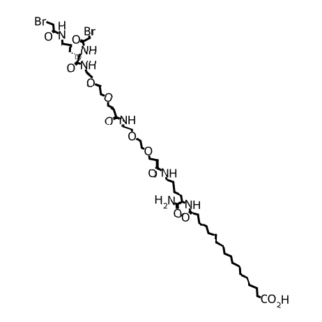 NC(=O)C(CCCCNC(=O)CCOCCOCCNC(=O)CCOCCOCCNC(=O)[C@H](CCCNC(=O)CBr)NC(=O)CBr)NC(=O)CCCCCCCCCCCCCCCCC(=O)O